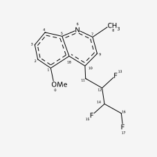 COc1cccc2nc(C)cc(CC(F)C(F)CF)c12